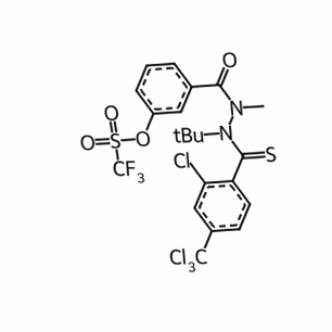 CN(C(=O)c1cccc(OS(=O)(=O)C(F)(F)F)c1)N(C(=S)c1ccc(C(Cl)(Cl)Cl)cc1Cl)C(C)(C)C